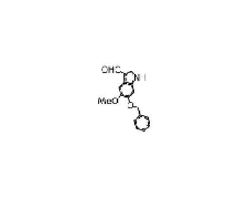 COc1cc2c(C=O)c[nH]c2cc1OCc1ccccc1